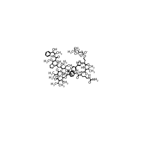 CC[C@H](C)[C@@H]([C@@H](CC(=O)N1CCC[C@H]1[C@H](OC)[C@@H](C)C(=O)N[C@H](C)[C@@H](O)c1ccccc1)OC)N(C)C(=O)[C@@H](NC(=O)[C@H](C(C)C)N(C)C(=O)OCc1ccc(NC(=O)[C@H](CCCNC(N)=O)NC(=O)[C@@H](NC(=O)[C@H](CCOP(=O)([O-])OCC[N+](C)(C)C)n2cc(-c3cnc(S(C)(=O)=O)nc3)nn2)C(C)C)cc1)C(C)C